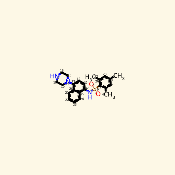 Cc1cc(C)c(S(=O)(=O)Nc2ccc(N3CCNCC3)c3ccccc23)c(C)c1